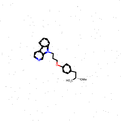 CO[C@@H](Cc1ccc(OCCCn2c3ccccc3c3ccncc32)cc1)C(=O)O